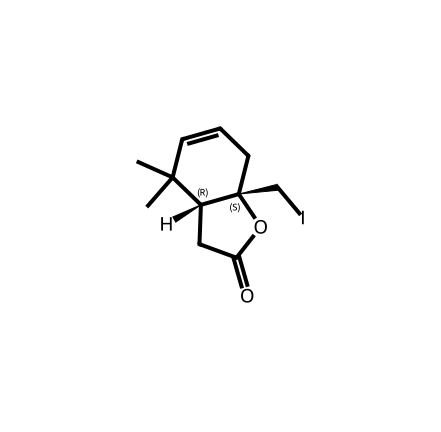 CC1(C)C=CC[C@]2(CI)OC(=O)C[C@H]12